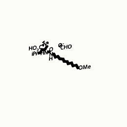 COCCCCCCCCCCCCNC(=O)NC(C[N+](C)(C)C)[C@@H](CC(C)C)C(=O)O.O=C[O-]